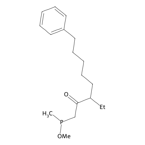 CCC(CCCCCc1ccccc1)C(=O)CP(C)OC